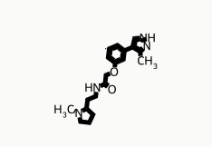 Cc1n[nH]cc1-c1c[c]cc(OCC(=O)NCCC2CCCN2C)c1